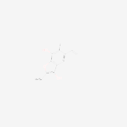 C=Cc1cc2c(O)c(C=C)oc2c(O)c1C